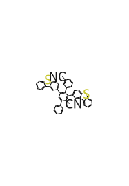 N#Cc1cccc(-c2c(-c3ccc4sc5ccccc5c4c3)cc(-c3ccccc3)c(C#N)c2-c2ccc3sc4ccccc4c3c2)c1